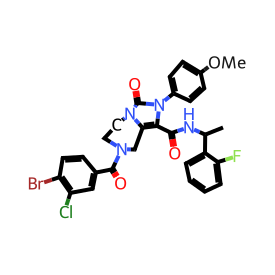 COc1ccc(-n2c(C(=O)NC(C)c3ccccc3F)c3n(c2=O)CCN(C(=O)c2ccc(Br)c(Cl)c2)C3)cc1